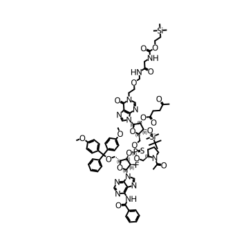 COc1ccc(C(OC[C@H]2O[C@@H](n3cnc4c(NC(=O)c5ccccc5)ncnc43)[C@H](F)[C@@H]2O[P@@](=S)(OC[C@H]2CCCN2C(C)=O)OC[C@H]2O[C@@H](n3cnc4c(=O)n(CCOCNC(=O)CNC(=O)OCC[Si](C)(C)C)cnc43)[C@H](OC(=O)CCC(C)=O)[C@@H]2O[Si](C)(C)C(C)(C)C)(c2ccccc2)c2ccc(OC)cc2)cc1